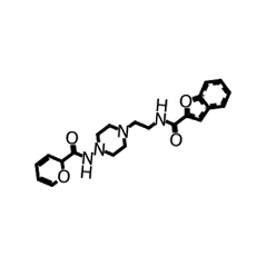 O=C(NCCN1CCN(NC(=O)C2C=CC=CO2)CC1)c1cc2ccccc2o1